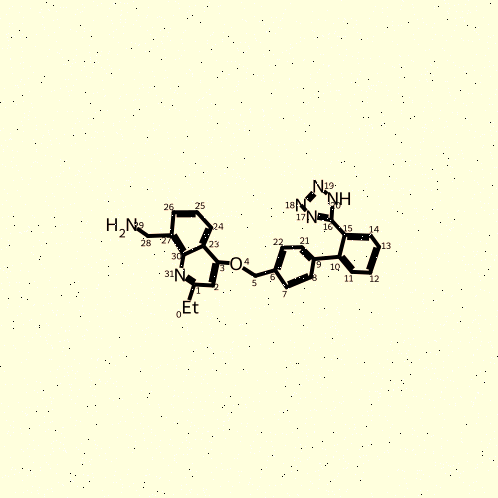 CCc1cc(OCc2ccc(-c3ccccc3-c3nnn[nH]3)cc2)c2cccc(CN)c2n1